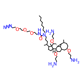 CCCCCCCCN(CCCC(C)C1CC[C@H]2C3[C@H](OCCCN)CC4C[C@H](OCCCN)CCC(C)C5C4[C@]53C[C@H](OCCCN)C12C)C(=O)NCCOCCOCCOCCN=[N+]=[N-]